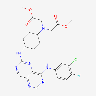 COC(=O)CN(CC(=O)OC)C1CCC(Nc2ncc3ncnc(Nc4ccc(F)c(Cl)c4)c3n2)CC1